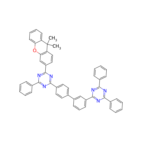 CC1(C)c2ccccc2Oc2cc(-c3nc(-c4ccccc4)nc(-c4ccc(-c5cccc(-c6nc(-c7ccccc7)nc(-c7ccccc7)n6)c5)cc4)n3)ccc21